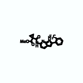 COC(=O)C1(C(=O)Nc2ccc3cc(-c4ccccc4C(F)(F)F)[nH]c3n2)CC1